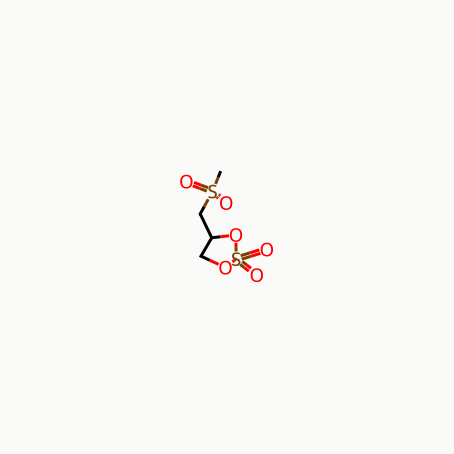 CS(=O)(=O)CC1COS(=O)(=O)O1